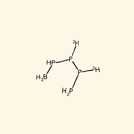 [2H]P(P)P([2H])PB